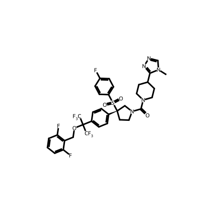 Cn1cnnc1C1CCN(C(=O)N2CC[C@](c3ccc(C(OCc4c(F)cccc4F)(C(F)(F)F)C(F)(F)F)cc3)(S(=O)(=O)c3ccc(F)cc3)C2)CC1